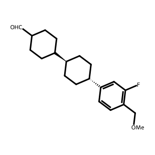 COCc1ccc([C@H]2CC[C@H](C3CCC(C=O)CC3)CC2)cc1F